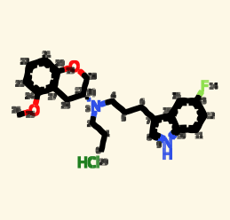 CCCN(CCCc1c[nH]c2ccc(F)cc12)[C@H]1COc2cccc(OC)c2C1.Cl